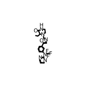 CCC1C(=O)NCCN1c1ncc(-c2cccc(N(c3ncccn3)C(F)(F)F)c2)o1